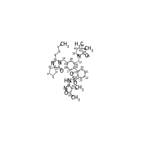 CCCCC1=NC2(CCCC2)C(=O)N1Cc1ccc(-c2ccccc2S(=O)(=O)Nc2noc(C)c2C)c(CN2CCC(C)(C)C2=O)c1